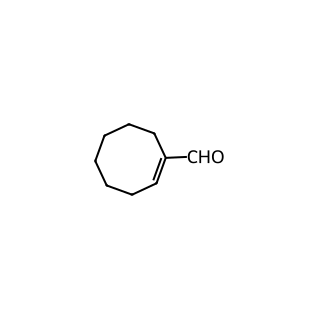 O=CC1=CCCCCCC1